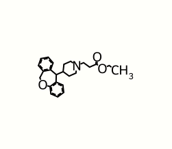 CCOC(=O)CCN1CCC(C2c3ccccc3COc3ccccc32)CC1